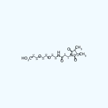 CC1C(=O)N(CCC(=O)NCCOCCOCCC(=O)O)C(=O)C1C